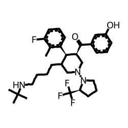 Cc1c(F)cccc1[C@@H]1[C](CCCCNC(C)(C)C)CN(N2CCC[C@H]2C(F)(F)F)C[C@@H]1C(=O)c1cccc(O)c1